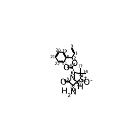 C=CC(OC(=O)[C@@H]1N2C(=O)[C@@H](N)[C@H]2[S+]([O-])C1(C)C)c1ccccc1